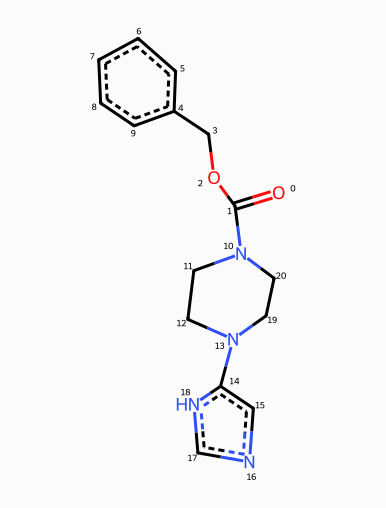 O=C(OCc1ccccc1)N1CCN(c2cnc[nH]2)CC1